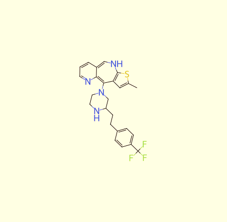 Cc1cc2c(s1)NC=c1cccnc1=C2N1CCNC(CCc2ccc(C(F)(F)F)cc2)C1